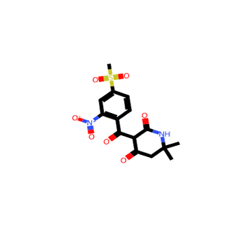 CC1(C)CC(=O)C(C(=O)c2ccc(S(C)(=O)=O)cc2[N+](=O)[O-])C(=O)N1